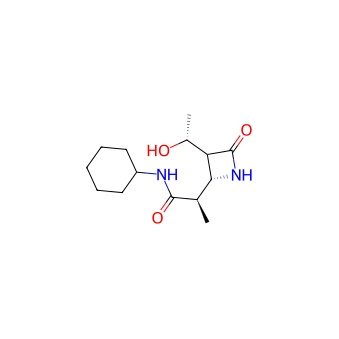 C[C@@H](O)C1C(=O)N[C@@H]1[C@@H](C)C(=O)NC1CCCCC1